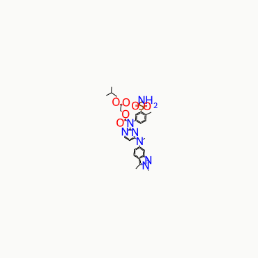 Cc1ccc(N(C(=O)OCC(=O)OCC(C)C)c2nccc(N(C)c3ccc4c(C)n(C)nc4c3)n2)cc1S(N)(=O)=O